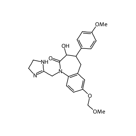 COCOc1ccc2c(c1)CC(c1ccc(OC)cc1)C(O)C(=O)N2CC1=NCCN1